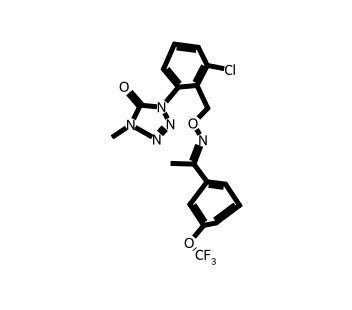 CC(=NOCc1c(Cl)cccc1-n1nnn(C)c1=O)c1cccc(OC(F)(F)F)c1